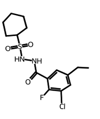 CCc1cc(Cl)c(F)c(C(=O)NNS(=O)(=O)C2CCCCC2)c1